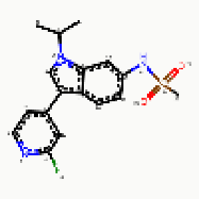 CC(C)n1cc(-c2ccnc(F)c2)c2ccc(NS(C)(=O)=O)cc21